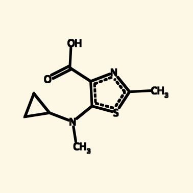 Cc1nc(C(=O)O)c(N(C)C2CC2)s1